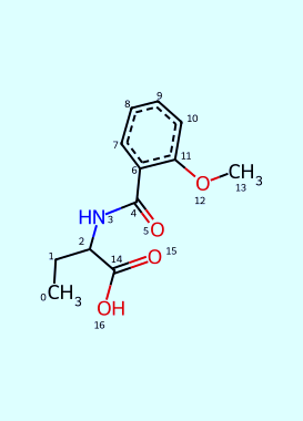 CCC(NC(=O)c1ccccc1OC)C(=O)O